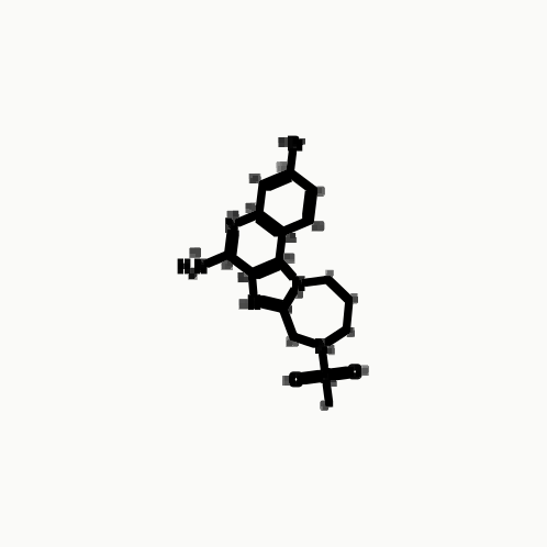 CS(=O)(=O)N1CCCn2c(nc3c(N)nc4cc(Br)ccc4c32)C1